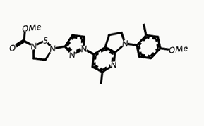 COC(=O)N1CCN(c2ccn(-c3cc(C)nc4c3CCN4c3ccc(OC)cc3C)n2)S1